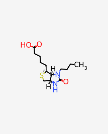 CCCCN1C(=O)N[C@H]2CS[C@@H](CCCCC(=O)O)[C@H]21